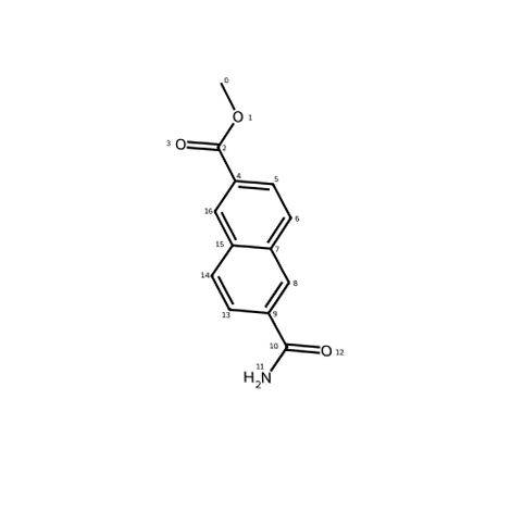 COC(=O)c1ccc2cc(C(N)=O)ccc2c1